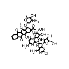 CC(=O)[C@]1(O)Cc2c(O)c3c(c(O)c2[C@@H](O[C@H]2C[C@H](N)[C@H](O)[C@H](C)O2)C1)C(=O)c1ccccc1C3=O.Nc1ccn([C@@H]2O[C@H](CO)[C@@H](O)[C@@H]2O)c(=O)n1.Nc1nc(Cl)nc2c1ncn2[C@H]1C[C@H](O)[C@@H](CO)O1